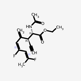 C#C[C@@H](C(=C)/C=C(F)\C=C(/C)F)[C@H](NC(C)=O)C(=O)OCC